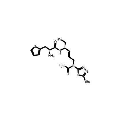 CC(C)C[C@@H](/C=C/CN(C(=O)C(F)(F)F)c1nnc(C(C)(C)C)s1)NC(=O)[C@@H](N)Cc1cccs1